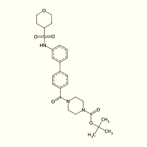 CC(C)(C)OC(=O)N1CCN(C(=O)c2ccc(-c3cccc(NS(=O)(=O)C4CCOCC4)c3)cc2)CC1